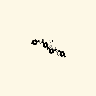 Cc1ccc(COC(=O)c2ccc(C(C)(c3ccc(C(=O)O)c(C(=O)OCc4ccc(C)cc4)c3)C(F)(F)F)cc2C(=O)O)cc1